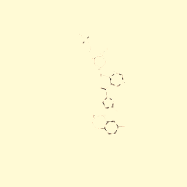 Cc1sc(C(=O)c2cncnc2N[C@@H]2C[C@H](COS(N)(=O)=O)[C@@H](O)C2)cc1[C@H]1NCCc2ccc(Cl)cc21